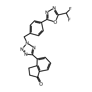 O=C1CCc2c1cccc2-c1nnn(Cc2ccc(-c3nnc(C(F)F)o3)cc2)n1